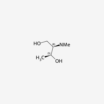 CN[C@H](CO)[C@H](C)O